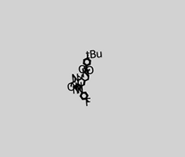 CN(CCO)C[C@]12Cc3cnn(-c4ccc(F)cc4)c3C=C1CCN(S(=O)(=O)c1ccc(C(C)(C)C)cc1)C2